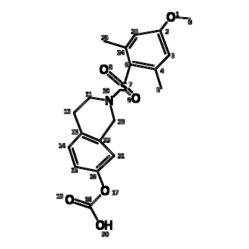 COc1cc(C)c(S(=O)(=O)N2CCc3ccc(OC(=O)O)cc3C2)c(C)c1